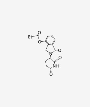 CCC(=O)Oc1cccc2c1CN(C1CCC(=O)NC1=O)C2=O